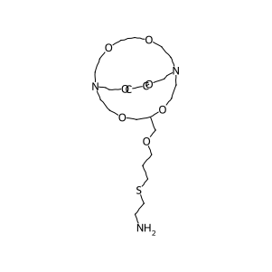 NCCSCCCOCC1COCCN2CCOCCOCCN(CCOCCOCC2)CCO1